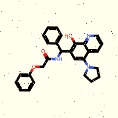 O=C(COc1ccccc1)NC(c1ccccc1)c1cc(N2CCCC2)c2cccnc2c1O